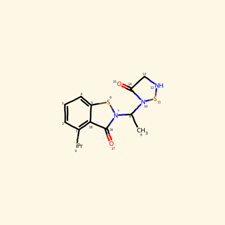 CC(C)c1cccc2sn(C(C)N3SNCC3=O)c(=O)c12